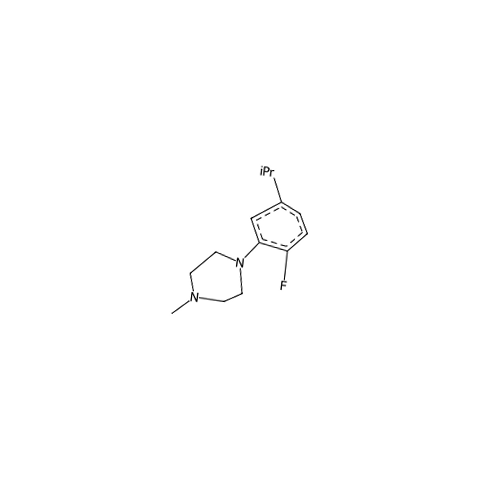 CC(C)c1ccc(F)c(N2CCN(C)CC2)c1